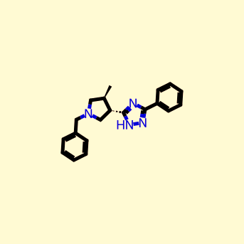 C[C@@H]1CN(Cc2ccccc2)C[C@H]1c1nc(-c2ccccc2)n[nH]1